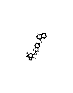 c1ccc2c(Oc3ccc4nc(N[C@@H]5C[C@@H]6CC67CC[C@@H]57)sc4c3)ccnc2c1